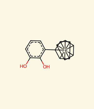 Oc1cccc([C]23[CH]4[CH]5[CH]6[CH]2[Fe]56432789[CH]3[CH]2[CH]7[CH]8[CH]39)c1O